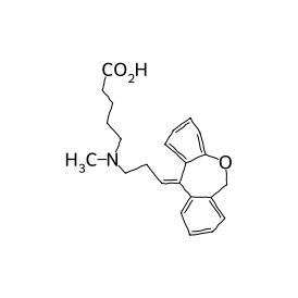 CN(CCC=C1c2ccccc2COc2ccccc21)CCCCC(=O)O